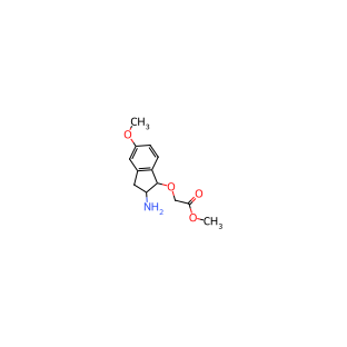 COC(=O)COC1c2ccc(OC)cc2CC1N